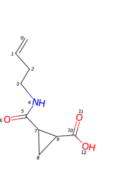 C=CCCNC(=O)C1CC1C(=O)O